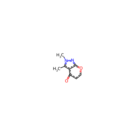 Cc1c2c(=O)ccoc2nn1C